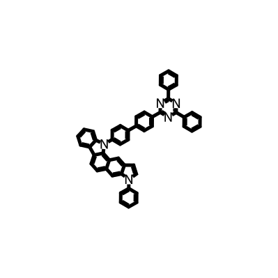 c1ccc(-c2nc(-c3ccccc3)nc(-c3ccc(-c4ccc(-n5c6ccccc6c6ccc7cc8c(ccn8-c8ccccc8)cc7c65)cc4)cc3)n2)cc1